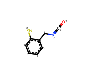 O=C=NCc1ccccc1S